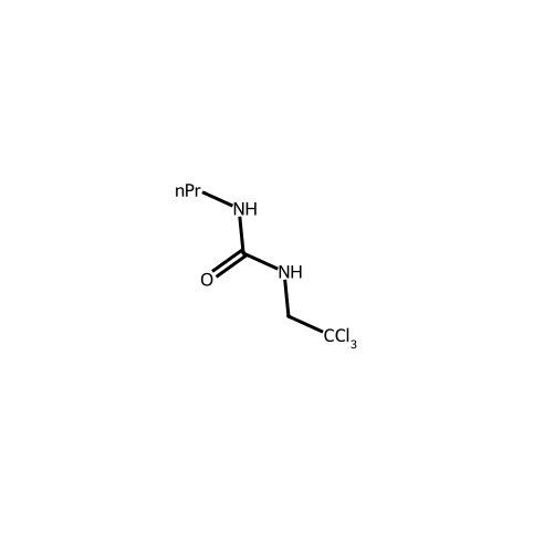 CCCNC(=O)NCC(Cl)(Cl)Cl